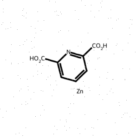 O=C(O)c1cccc(C(=O)O)n1.[Zn]